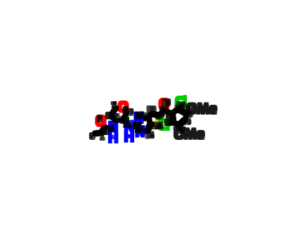 C=CC(=O)NC1CCOCC1Nc1ncc2sc(C(=O)c3c(Cl)c(OC)cc(OC)c3Cl)cc2n1